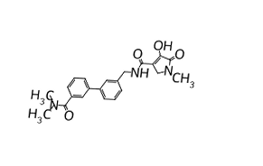 CN(C)C(=O)c1cccc(-c2cccc(CNC(=O)C3=C(O)C(=O)N(C)C3)c2)c1